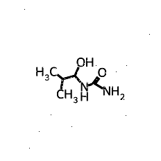 CC(C)C(O)NC(N)=O